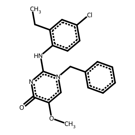 CCc1cc(Cl)ccc1Nc1nc(=O)c(OC)cn1Cc1ccccc1